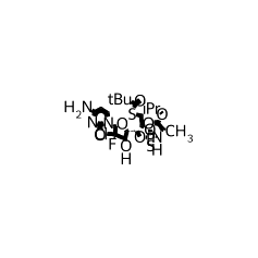 CC(C)OC(=O)[C@@H](C)N[P@@](=S)(OCCSC(=O)C(C)(C)C)OC[C@H]1O[C@@H](n2ccc(N)nc2=O)[C@](F)(Cl)[C@@H]1O